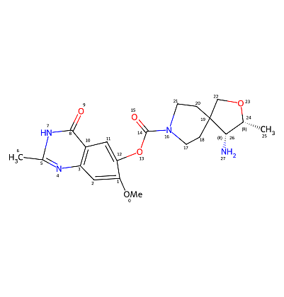 COc1cc2nc(C)[nH]c(=O)c2cc1OC(=O)N1CCC2(CC1)CO[C@H](C)[C@@H]2N